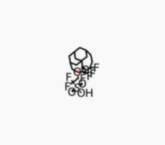 O=C(OCC(F)(F)S(=O)(=O)O)C12CC3CCC(F)(F)C(F)(F)CCC(CC(C3)C1)C2